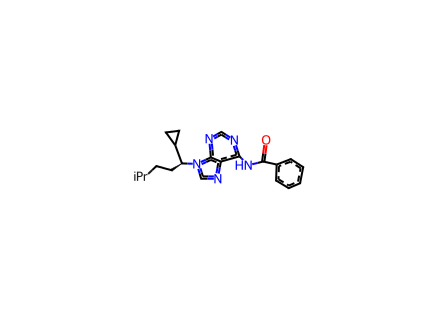 CC(C)CC[C@@H](C1CC1)n1cnc2c(NC(=O)c3ccccc3)ncnc21